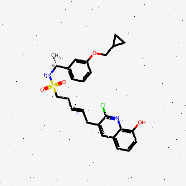 C[C@@H](NS(=O)(=O)CC/C=C/Cc1cc2cccc(O)c2nc1Cl)c1cccc(OCC2CC2)c1